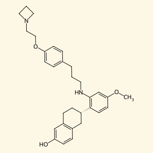 COc1ccc([C@H]2CCc3cc(O)ccc3C2)c(NCCCc2ccc(OCCN3CCC3)cc2)c1